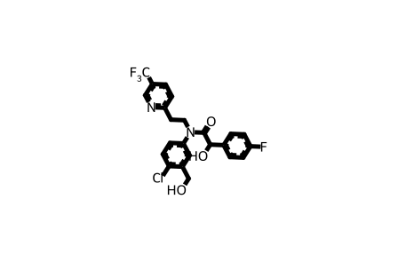 O=C(C(O)c1ccc(F)cc1)N(CCc1ccc(C(F)(F)F)cn1)c1ccc(Cl)c(CO)c1